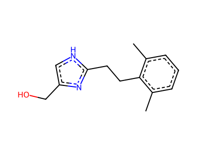 Cc1cccc(C)c1CCc1nc(CO)c[nH]1